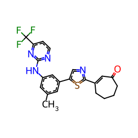 Cc1cc(Nc2nccc(C(F)(F)F)n2)cc(-c2cnc(C3=CC(=O)CCCC3)s2)c1